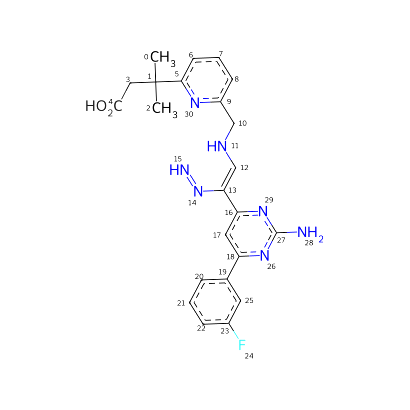 CC(C)(CC(=O)O)c1cccc(CN/C=C(\N=N)c2cc(-c3cccc(F)c3)nc(N)n2)n1